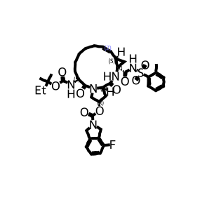 CCC(C)(C)OC(=O)N[C@H]1CCCCC/C=C\[C@@H]2C[C@@]2(C(=O)NS(=O)(=O)c2ccccc2C)NC(=O)[C@@H]2C[C@@H](OC(=O)N3Cc4cccc(F)c4C3)CN2C1=O